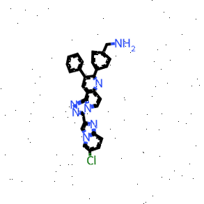 NCc1ccc(-c2nc3ccn4c(-c5cn6cc(Cl)ccc6n5)nnc4c3cc2-c2ccccc2)cc1